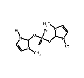 CCN1C=CN(C)C1OP(=O)(CC)OC1N(C)C=CN1CC